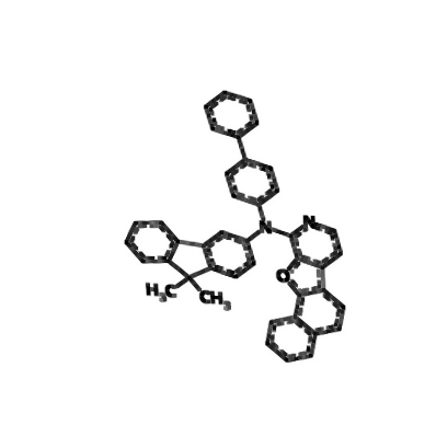 CC1(C)c2ccccc2-c2cc(N(c3ccc(-c4ccccc4)cc3)c3nccc4c3oc3c5ccccc5ccc43)ccc21